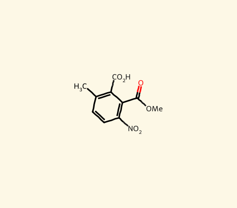 COC(=O)c1c([N+](=O)[O-])ccc(C)c1C(=O)O